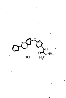 C[C@@H](N)C(=O)Nc1ccc(Oc2ccc3c(c2)CCC(c2ccccc2)O3)nc1.Cl